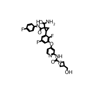 NC(=O)C1(C(=O)Nc2ccc(F)cc2)CC1c1cc(F)cc(Oc2ccnc(NC(=O)N3CC(CO)C3)c2)c1F